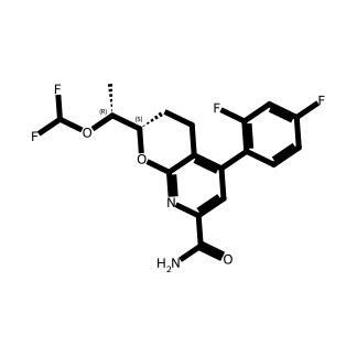 C[C@@H](OC(F)F)[C@@H]1CCc2c(-c3ccc(F)cc3F)cc(C(N)=O)nc2O1